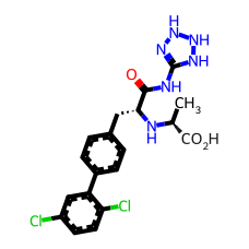 C[C@H](N[C@H](Cc1ccc(-c2cc(Cl)ccc2Cl)cc1)C(=O)NC1=NNNN1)C(=O)O